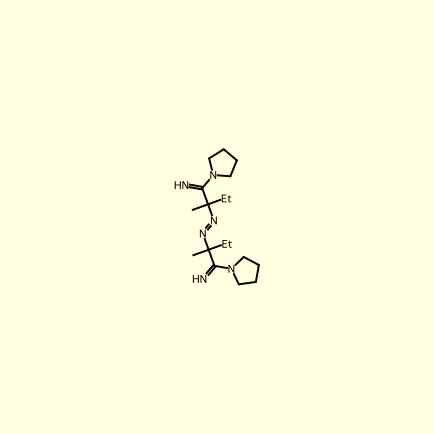 CCC(C)(N=NC(C)(CC)C(=N)N1CCCC1)C(=N)N1CCCC1